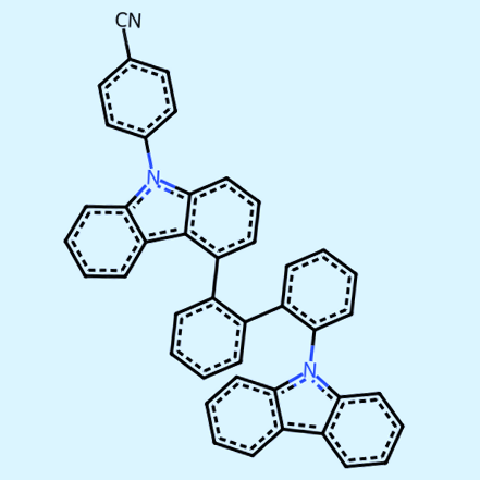 N#Cc1ccc(-n2c3ccccc3c3c(-c4ccccc4-c4ccccc4-n4c5ccccc5c5ccccc54)cccc32)cc1